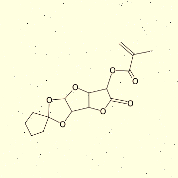 C=C(C)C(=O)OC1C(=O)OC2C3OC4(CCCC4)OC3OC12